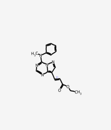 CCOC(=O)/C=C/c1cnn2c(N(C)c3ccccc3)ncnc12